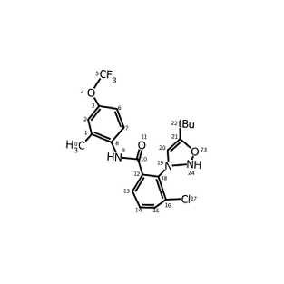 Cc1cc(OC(F)(F)F)ccc1NC(=O)c1cccc(Cl)c1N1C=C(C(C)(C)C)ON1